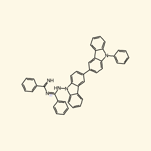 N=C(/N=C(\Nn1c2ccccc2c2cc(-c3ccc4c(c3)c3ccccc3n4-c3ccccc3)ccc21)c1ccccc1)c1ccccc1